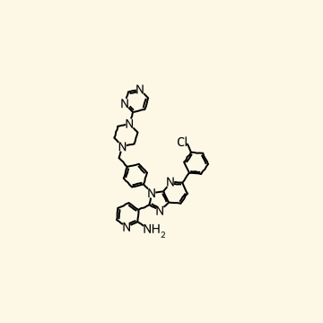 Nc1ncccc1-c1nc2ccc(-c3cccc(Cl)c3)nc2n1-c1ccc(CN2CCN(c3ccncn3)CC2)cc1